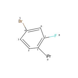 CC(C)c1ccc(Br)cc1F